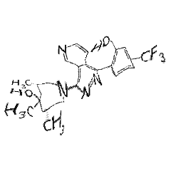 C[C@@H]1CN(c2nnc(-c3ccc(C(F)(F)F)cc3O)c3ccncc23)C[C@H](C)C1(C)O